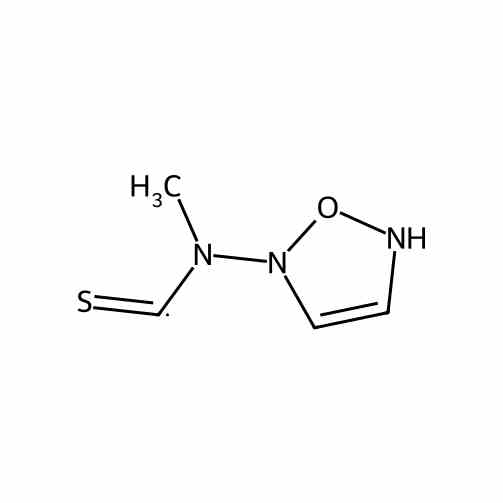 CN([C]=S)N1C=CNO1